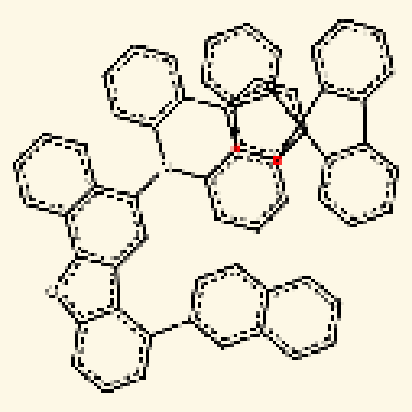 c1ccc(-c2ccccc2N(c2cccc3c2-c2ccccc2C32c3ccccc3-c3ccccc32)c2cc3c(oc4cccc(-c5ccc6ccccc6c5)c43)c3ccccc23)cc1